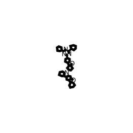 c1ccc(-c2nc(-c3ccccc3)nc(-c3ccc4c(c3)oc3ccc(-n5c6ccccc6c6cc7c(cc65)oc5ccccc57)cc34)n2)cc1